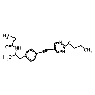 CCCOc1ncc(C#Cc2ccc(CC(C)NC(=O)OC)cc2)cn1